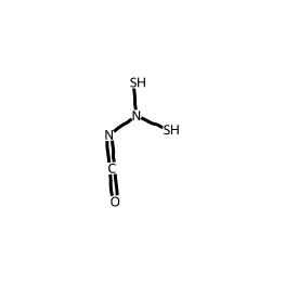 O=C=NN(S)S